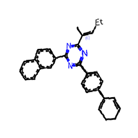 CC/C=C(\C)c1nc(-c2ccc(C3=CCCC=C3)cc2)nc(-c2ccc3ccccc3c2)n1